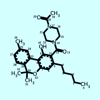 CCCCCc1cc2c(c(O)c1C(=O)N1CCN(C(C)=O)CC1)-c1cc(C)ccc1C(C)(C)O2